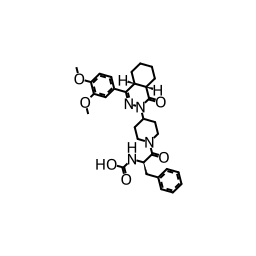 COc1ccc(C2=NN(C3CCN(C(=O)[C@@H](Cc4ccccc4)NC(=O)O)CC3)C(=O)[C@H]3CCCC[C@@H]23)cc1OC